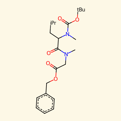 CC(C)CC(C(=O)N(C)CC(=O)OCc1ccccc1)N(C)C(=O)OC(C)(C)C